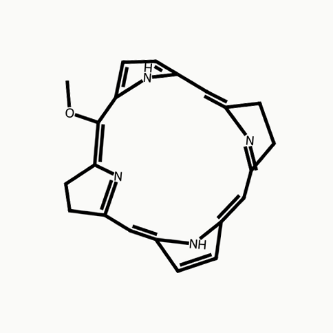 COc1c2nc(cc3ccc(cc4nc(cc5ccc1[nH]5)CC4)[nH]3)CC2